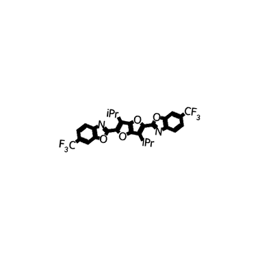 CC(C)c1c(-c2nc3ccc(C(F)(F)F)cc3o2)oc2c(C(C)C)c(-c3nc4ccc(C(F)(F)F)cc4o3)oc12